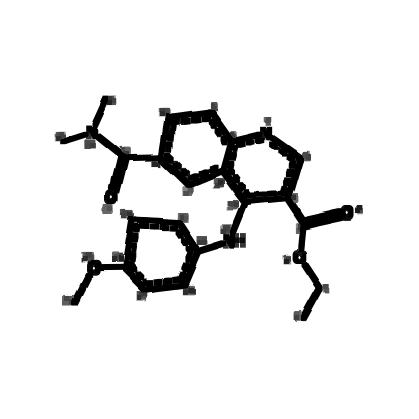 CCOC(=O)c1cnc2ccc(C(=O)N(C)C)cc2c1Nc1ccc(OC)cc1